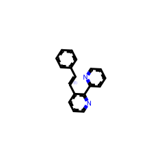 C(=C\c1cccnc1-c1ccccn1)/c1ccccc1